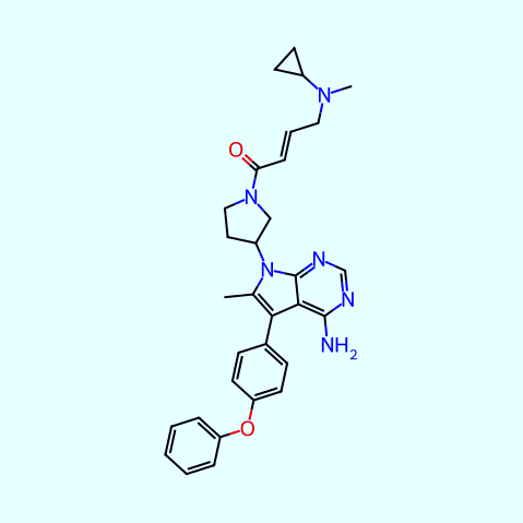 Cc1c(-c2ccc(Oc3ccccc3)cc2)c2c(N)ncnc2n1C1CCN(C(=O)C=CCN(C)C2CC2)C1